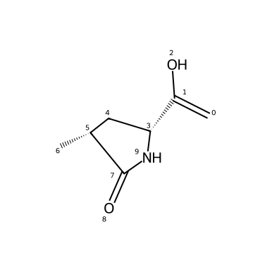 C=C(O)[C@H]1C[C@@H](C)C(=O)N1